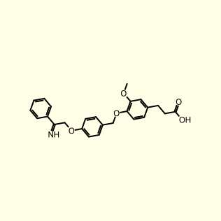 COc1cc(CCC(=O)O)ccc1OCc1ccc(OCC(=N)c2ccccc2)cc1